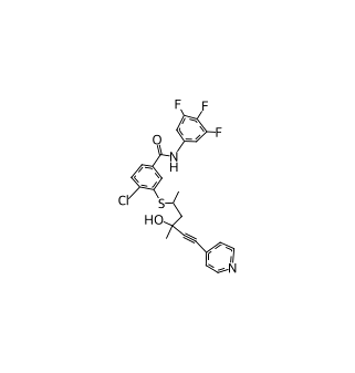 CC(CC(C)(O)C#Cc1ccncc1)Sc1cc(C(=O)Nc2cc(F)c(F)c(F)c2)ccc1Cl